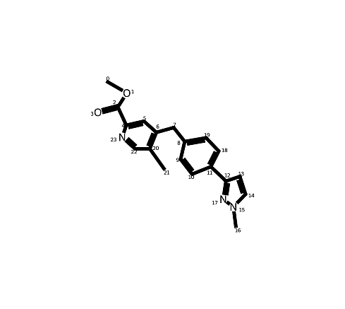 COC(=O)c1cc(Cc2ccc(-c3ccn(C)n3)cc2)c(C)cn1